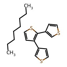 CCCCCCCC.c1cc(-c2ccsc2-c2ccsc2)cs1